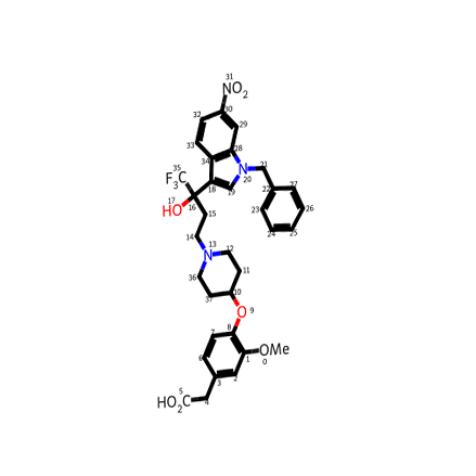 COc1cc(CC(=O)O)ccc1OC1CCN(CCC(O)(c2cn(Cc3ccccc3)c3cc([N+](=O)[O-])ccc23)C(F)(F)F)CC1